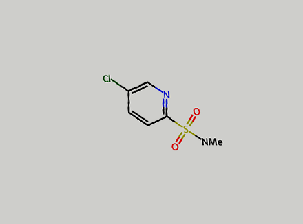 CNS(=O)(=O)c1ccc(Cl)cn1